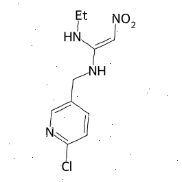 CCNC(=C[N+](=O)[O-])NCc1ccc(Cl)nc1